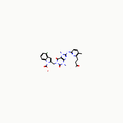 COC(=O)CCc1nc(Nc2nc3c(c(=O)n(Cc4cc5c(Cl)cccc5n4C(=O)OC(C)(C)C)c(=O)n3C)n2C)ccc1C